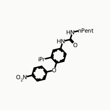 CCCCCNC(=O)Nc1ccc(Oc2ccc([N+](=O)[O-])cc2)c(C(C)C)c1